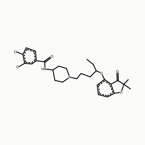 CCC(CCCN1CCC(NC(=O)c2ccc(Cl)c(Cl)c2)CC1)Oc1cccc2c1C(=O)C(C)(C)O2